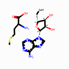 CSCCC(N)C(=O)O.Nc1ncnc2c1ncn2[C@@H]1O[C@H](C[SeH])[C@@H](O)[C@H]1O